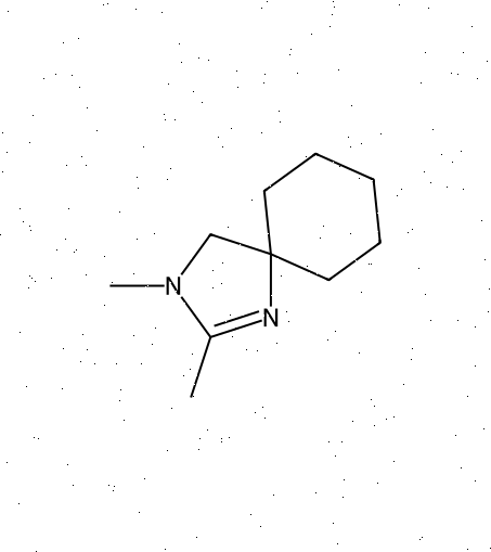 CC1=NC2(CCCCC2)CN1C